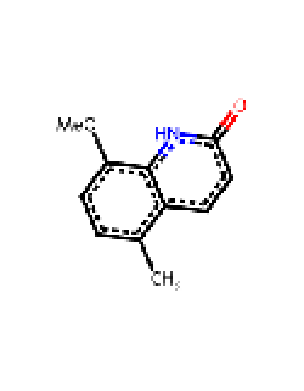 COc1ccc(C)c2ccc(=O)[nH]c12